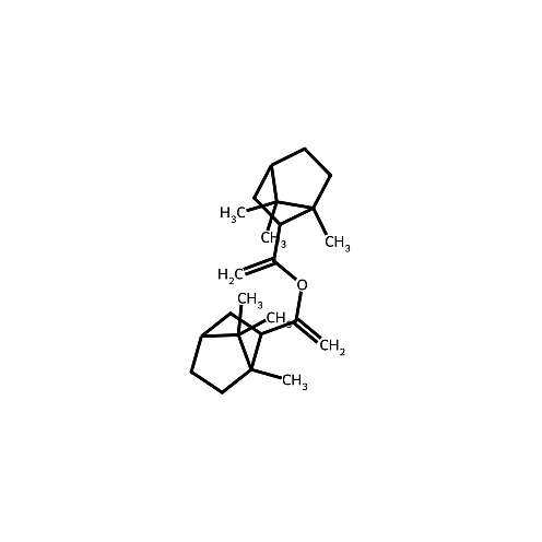 C=C(OC(=C)C1CC2CCC1(C)C2(C)C)C1CC2CCC1(C)C2(C)C